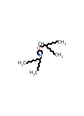 CCCCCCCC(CCCCCC)CN1CCC(O[C@H](C)CCC(CCCCCC)CCCCCC)CC1